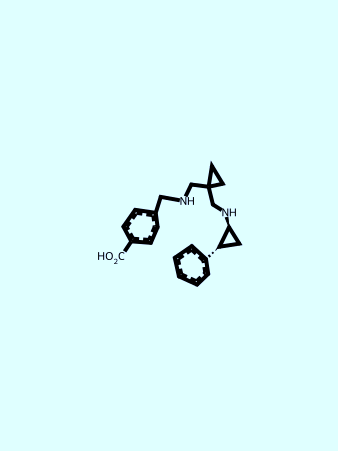 O=C(O)c1ccc(CNCC2(CN[C@H]3C[C@@H]3c3ccccc3)CC2)cc1